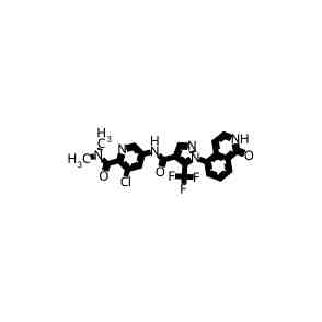 CN(C)C(=O)c1ncc(NC(=O)c2cnn(-c3cccc4c(=O)[nH]ccc34)c2C(F)(F)F)cc1Cl